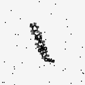 COc1ccc(S(=O)(=O)N2CCN(c3nc(Cc4cccc(F)c4)cs3)CC2)cc1